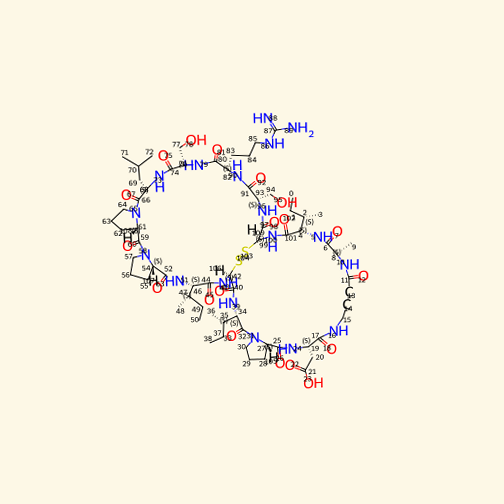 CC[C@H](C)[C@@H]1NC(=O)[C@H](C)NC(=O)CCCNC(=O)[C@H](CC(=O)O)NC(=O)[C@@H]2CCCN2C(=O)[C@H]([C@@H](C)CC)NC(=O)[C@H]2NC(=O)[C@H]([C@@H](C)CC)NC(=O)[C@@H]3CCCN3C(=O)[C@@H]3CCCN3C(=O)[C@H](CC(C)C)NC(=O)[C@H](CO)NC(=O)[C@H](CCCNC(=N)N)NC(=O)[C@H](CO)NC(=O)[C@@H](NC1=O)SS2